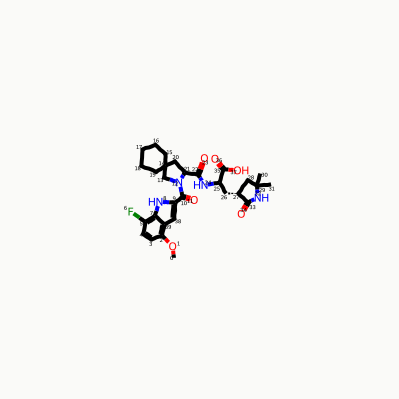 COc1ccc(F)c2[nH]c(C(=O)N3CC4(CCCCC4)CC3C(=O)NC(C[C@@H]3CC(C)(C)NC3=O)C(=O)O)cc12